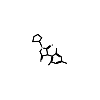 Cc1cc(C)c(C2C(=O)CN(C3CCCC3)C2=O)c(C)c1